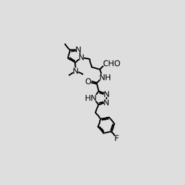 Cc1cc(N(C)C)n(CCC(C=O)NC(=O)c2nnc(Cc3ccc(F)cc3)[nH]2)n1